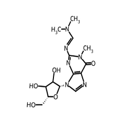 CN(C)/C=N/c1nc2c(ncn2[C@@H]2O[C@H](CO)C(O)C2O)c(=O)n1C